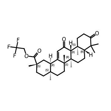 CC1(C)C(=O)CC[C@]2(C)[C@H]3C(=O)C=C4[C@@H]5C[C@@](C)(C(=O)OCC(F)(F)F)CC[C@]5(C)CC[C@@]4(C)[C@]3(C)CC[C@@H]12